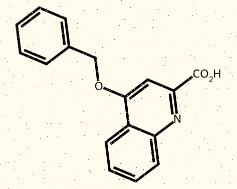 O=C(O)c1cc(OCc2ccccc2)c2ccccc2n1